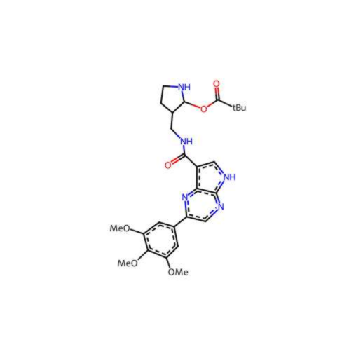 COc1cc(-c2cnc3[nH]cc(C(=O)NCC4CCNC4OC(=O)C(C)(C)C)c3n2)cc(OC)c1OC